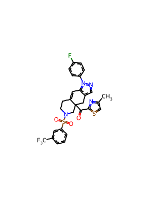 Cc1csc(C(=O)C23Cc4cnn(-c5ccc(F)cc5)c4C=C2CCN(S(=O)(=O)c2cccc(C(F)(F)F)c2)C3)n1